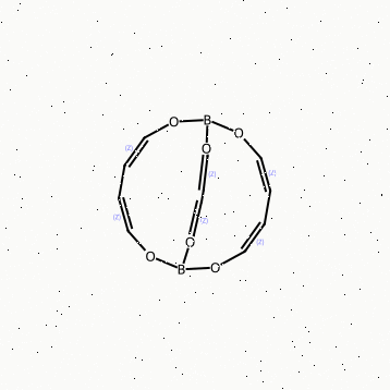 C1=C\OB2O/C=C\C=C/OB(O\C=C/1)O/C=C\C=C/O2